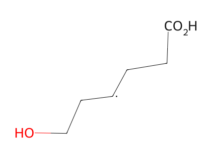 O=C(O)CC[CH]CCO